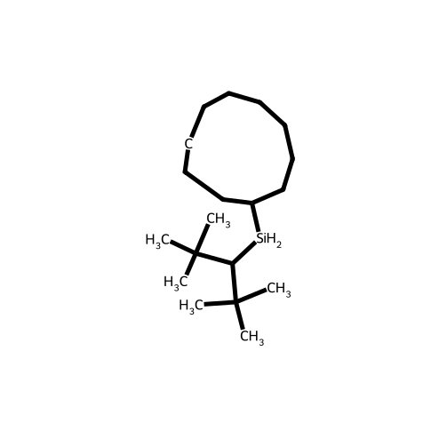 CC(C)(C)C([SiH2]C1CCCCCCCCC1)C(C)(C)C